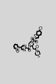 O=C(CC1CN(S(=O)(=O)c2cc3ccc(Cl)cc3s2)CCN1C(=O)c1ncc(-c2cccc[n+]2[O-])cn1)N1CCSCC1